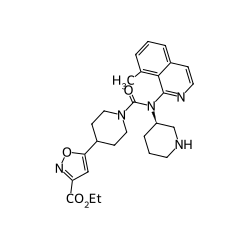 CCOC(=O)c1cc(C2CCN(C(=O)N(c3nccc4cccc(C)c34)[C@@H]3CCCNC3)CC2)on1